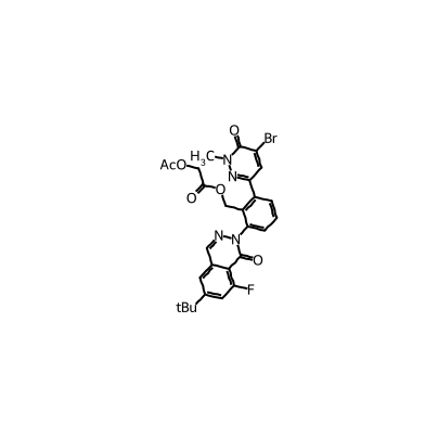 CC(=O)OCC(=O)OCc1c(-c2cc(Br)c(=O)n(C)n2)cccc1-n1ncc2cc(C(C)(C)C)cc(F)c2c1=O